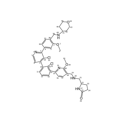 COc1cc(-c2nccc(-c3cccc(-c4ccc(CNCC5CCC(=O)N5)c(OC)n4)c3Cl)c2Cl)ccc1CNC1CCOCC1